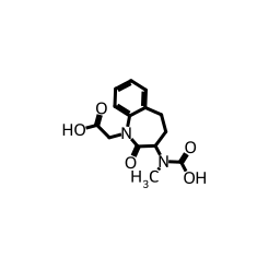 CN(C(=O)O)C1CCc2ccccc2N(CC(=O)O)C1=O